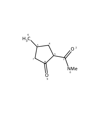 CNC(=O)C1CC(C)CC1=O